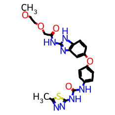 COCCOCC(=O)Nc1nc2cc(Oc3ccc(NC(=O)Nc4nnc(C)s4)cc3)ccc2[nH]1